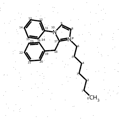 CCCCCCC[n+]1ccn(-c2ccccc2)c1Cc1ccccc1